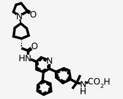 CC(C)(NC(=O)O)c1ccc(-c2ncc(NC(=O)C[C@H]3CC[C@H](N4CCCC4=O)CC3)cc2-c2ccccc2)cc1